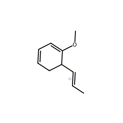 C/C=C/C1CC=CC=C1OC